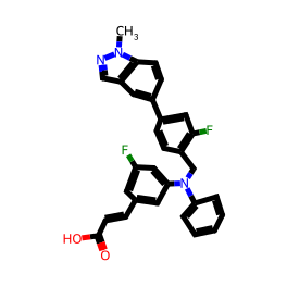 Cn1ncc2cc(-c3ccc(CN(c4ccccc4)c4cc(F)cc(/C=C/C(=O)O)c4)c(F)c3)ccc21